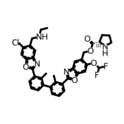 CCNCc1cc2nc(-c3cccc(-c4cccc(-c5nc6cc(COC(=O)[C@@H]7CCCN7)c(OC(F)F)cc6o5)c4C)c3C)oc2cc1Cl